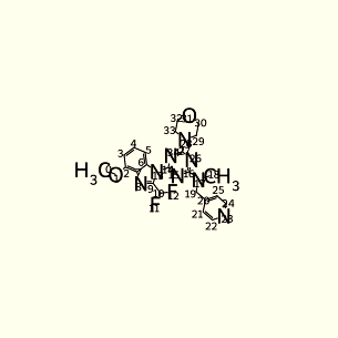 COc1cccc2c1nc(C(F)F)n2-c1nc(N(C)Cc2ccncc2)nc(N2CCOCC2)n1